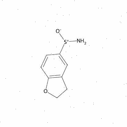 N[S+]([O-])c1ccc2c(c1)CCO2